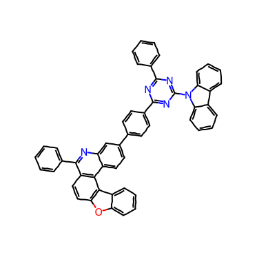 c1ccc(-c2nc(-c3ccc(-c4ccc5c(c4)nc(-c4ccccc4)c4ccc6oc7ccccc7c6c45)cc3)nc(-n3c4ccccc4c4ccccc43)n2)cc1